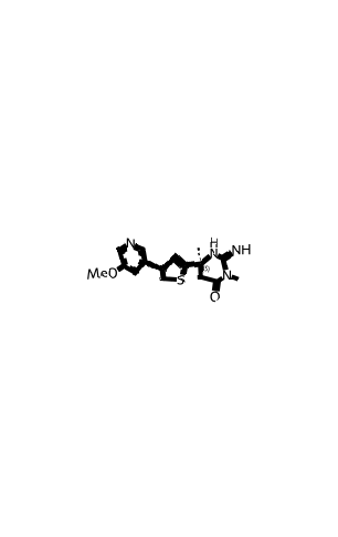 COc1cncc(C2C=C([C@]3(C)CC(=O)N(C)C(=N)N3)SC2)c1